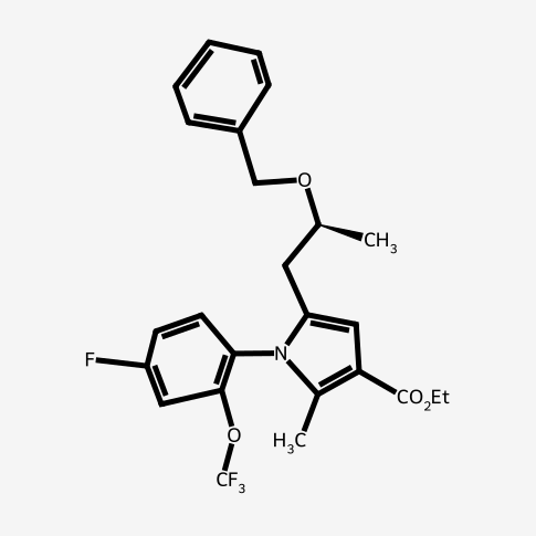 CCOC(=O)c1cc(C[C@H](C)OCc2ccccc2)n(-c2ccc(F)cc2OC(F)(F)F)c1C